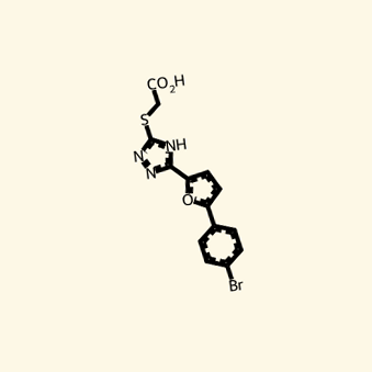 O=C(O)CSc1nnc(-c2ccc(-c3ccc(Br)cc3)o2)[nH]1